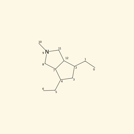 CCC1CC(CC)C2CN(C)CC12